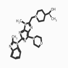 Cc1nc2ccccc2n1-c1nc(N2CCOCC2)c2nc(CN3CCC([C@H](C)O)CC3)n(C)c2n1